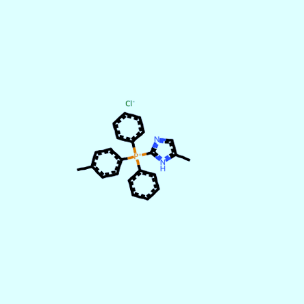 Cc1ccc([P+](c2ccccc2)(c2ccccc2)c2ncc(C)[nH]2)cc1.[Cl-]